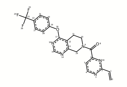 C=Cc1nccc(C(=O)N2CCc3c(ncnc3Oc3ccc(C(F)(F)F)cc3)C2)n1